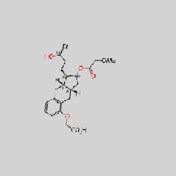 CC[C@H](O)CC[C@@H]1[C@H]2Cc3cccc(OCC(=O)O)c3C[C@H]2C[C@H]1OC(=O)COC